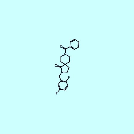 O=C(c1ccccc1)N1CCC2(CC1)CCN(Cc1cc(F)ccc1F)C2=O